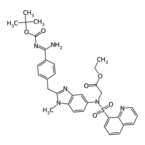 CCOC(=O)CN(c1ccc2c(c1)nc(Cc1ccc(C(N)=NC(=O)OC(C)(C)C)cc1)n2C)S(=O)(=O)c1cccc2cccnc12